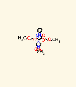 CCOCCOc1nn(-c2ccccc2)c(=O)c(OCCOCC)c1N1CCN(S(C)(=O)=O)CC1